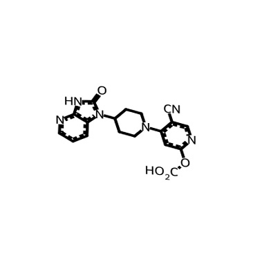 N#Cc1cnc(OC(=O)O)cc1N1CCC(n2c(=O)[nH]c3ncccc32)CC1